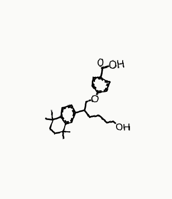 CC1(C)CCC(C)(C)c2cc(C(CCCCO)COc3ccc(C(=O)O)cc3)ccc21